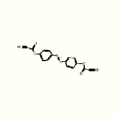 C#CC(=O)Oc1ccc(/N=N/c2ccc(OC(=O)C#C)cc2)cc1